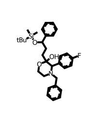 CC(C)(C)[Si](C)(C)OC(CCC1(O)OCCN(Cc2ccccc2)C1c1ccc(F)cc1)c1ccccc1